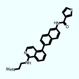 CNCCNc1nccc2c(-c3ccc4cc(NC(=O)c5ccsc5)ccc4c3)cccc12